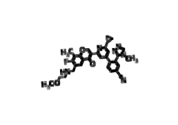 COCCNCc1cc2c(=O)c(-c3cc(-c4ccc(C#N)cc4-c4nncn4C)cc(C4CC4)n3)coc2c(C)c1F